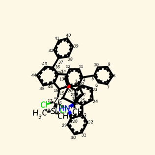 CC1=Cc2c(-c3ccccc3)cccc2[CH]1[Zr]([Cl])([Cl])([CH]1C(c2cccc3c2[nH]c2ccccc23)=Cc2c(-c3ccccc3)cccc21)=[Si](C)C